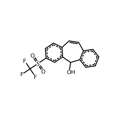 O=S(=O)(c1ccc2c(c1)C(O)c1ccccc1C=C2)C(F)(F)F